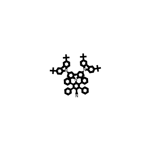 CC(C)(C)c1ccc2c(c1)c1cc(C(C)(C)C)ccc1n2-c1ccc2c(c1)c1cc(-n3c4ccc(C(C)(C)C)cc4c4cc(C(C)(C)C)ccc43)ccc1n2-c1c(-c2ccccc2)c(-c2ccccc2)c(C#N)c(-c2ccccc2)c1-c1ccccc1